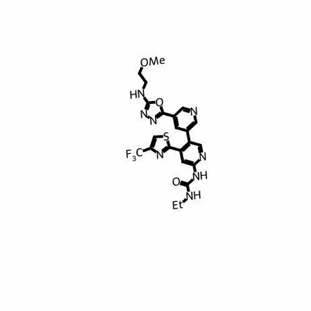 CCNC(=O)Nc1cc(-c2nc(C(F)(F)F)cs2)c(-c2cncc(-c3nnc(NCCOC)o3)c2)cn1